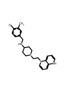 Cc1cc(CNC2CCN(CCN3C=CC=C4NC=CC=C43)CC2)ccc1Cl